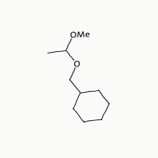 COC(C)OCC1CCCCC1